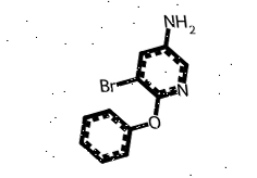 Nc1cnc(Oc2ccccc2)c(Br)c1